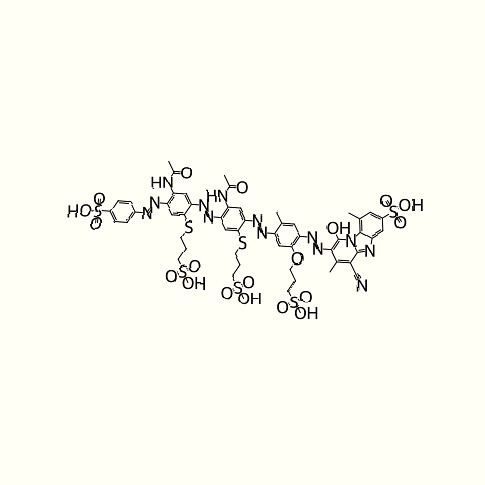 CC(=O)Nc1cc(N=Nc2cc(SCCCS(=O)(=O)O)c(N=Nc3cc(OCCCS(=O)(=O)O)c(N=Nc4c(C)c(C#N)c5nc6cc(S(=O)(=O)O)cc(C)c6n5c4O)cc3C)cc2NC(C)=O)c(SCCCS(=O)(=O)O)cc1N=Nc1ccc(S(=O)(=O)O)cc1